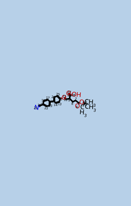 CC(C)(C)OC(=O)CCC(COc1ccc(-c2ccc(C#N)cc2)cc1)C(=O)O